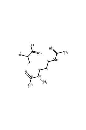 CC(O)C(=O)O.N=C(N)NCCC[C@H](N)C(=O)O